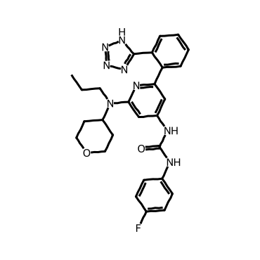 CCCN(c1cc(NC(=O)Nc2ccc(F)cc2)cc(-c2ccccc2-c2nnn[nH]2)n1)C1CCOCC1